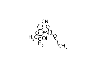 C=CCCOC1=CC(=O)N([C@@H]2c3cc(C#N)ccc3OC(C)(C)[C@H]2O)C1